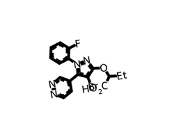 CCC(Oc1nn(-c2ccccc2F)c(-c2ccnnc2)c1Br)C(=O)O